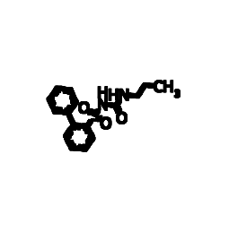 CCCNC(=O)NS(=O)(=O)c1ccccc1-c1ccccc1